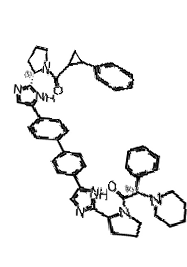 O=C([C@@H](c1ccccc1)N1CCCCC1)N1CCCC1c1ncc(-c2ccc(-c3ccc(-c4cnc([C@@H]5CCCN5C(=O)C5CC5c5ccccc5)[nH]4)cc3)cc2)[nH]1